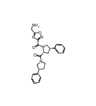 NCc1nc(C(=O)N2C[C@@H](c3ccccc3)C[C@H]2C(=O)N2CCC(c3ccccc3)C2)no1